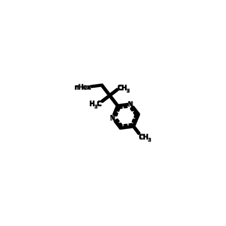 CCCCCCCC(C)(C)c1ncc(C)cn1